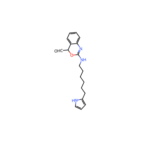 O=CC1OC(NCCCCCCc2ccc[nH]2)=Nc2ccccc21